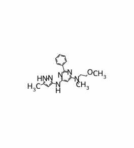 COCCN(C)c1cc(Nc2cc(C)[nH]n2)nc(-c2ccccc2)n1